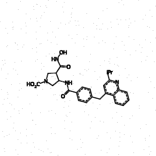 CC(C)c1cc(Cc2ccc(C(=O)NC3CN(C(=O)O)CC3C(=O)NO)cc2)c2ccccc2n1